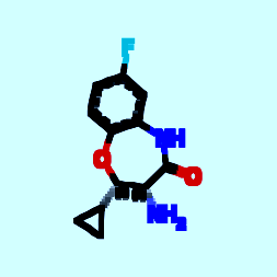 N[C@H]1C(=O)Nc2cc(F)ccc2O[C@H]1C1CC1